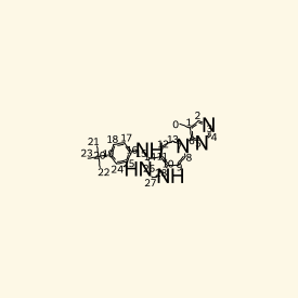 Cc1cncnc1N1C=CC2=C(CC1)C(Nc1ccc(C(C)(C)C)cc1)NCN2